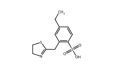 CCc1ccc(S(=O)(=O)O)c(CC2=NCCS2)c1